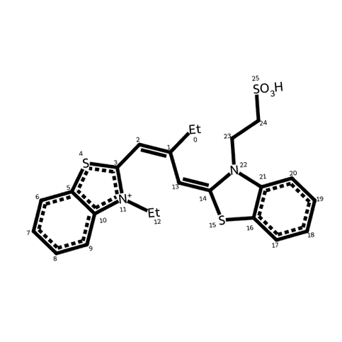 CCC(=Cc1sc2ccccc2[n+]1CC)C=C1Sc2ccccc2N1CCS(=O)(=O)O